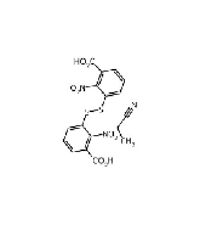 CCC#N.O=C(O)c1cccc(SSc2cccc(C(=O)O)c2[N+](=O)[O-])c1[N+](=O)[O-]